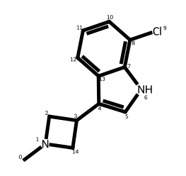 CN1CC(c2c[nH]c3c(Cl)cccc23)C1